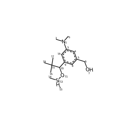 CN(C)c1cc(CO)cc(C(O[SiH](C)C)C(C)(C)C)c1